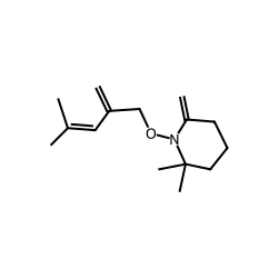 C=C(C=C(C)C)CON1C(=C)CCCC1(C)C